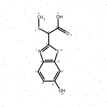 CSC(C(=O)O)c1nc2ccc(O)cc2s1